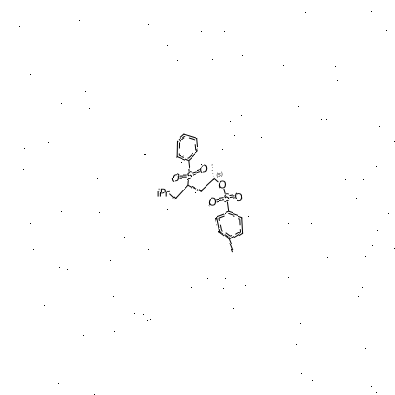 Cc1ccc(S(=O)(=O)O[C@@H](C)CC(CC(C)C)S(=O)(=O)c2ccccc2)cc1